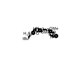 COc1cc2c(cc1OCCCOc1cc3c(cc1OC)C(=O)N1c4ccc(N(C)CCCC(C)(C)C)cc4C[C@H]1C=N3)N=C[C@@H]1Cc3ccccc3N1C2=O